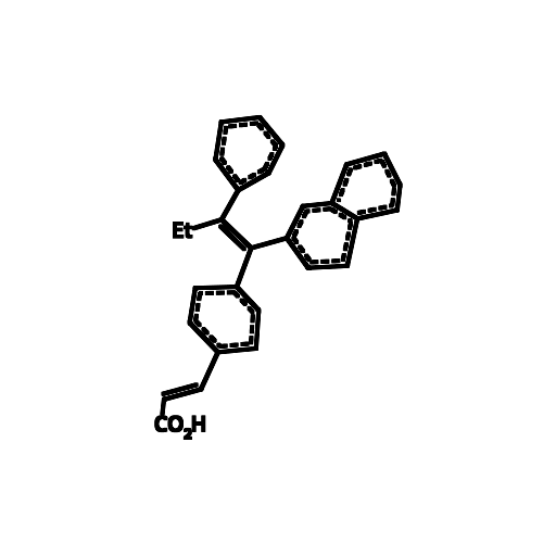 CCC(=C(c1ccc(C=CC(=O)O)cc1)c1ccc2ccccc2c1)c1ccccc1